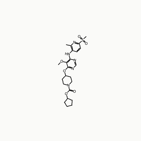 COc1c(Nc2ccc(S(C)(=O)=O)nc2C)ncnc1OC1CCN(C(=O)OC2CCCC2)CC1